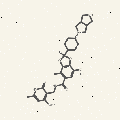 CSc1cc(C)[nH]c(=O)c1CNC(=O)c1cc(Cl)c2c(c1C)OC(C)(C1CCC(N3CC4CNCC4C3)CC1)O2.Cl